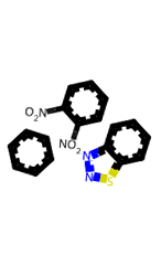 O=[N+]([O-])c1ccccc1[N+](=O)[O-].c1ccc2snnc2c1.c1ccccc1